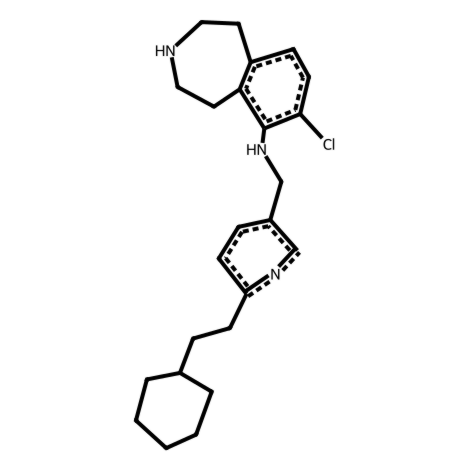 Clc1ccc2c(c1NCc1ccc(CCC3CCCCC3)nc1)CCNCC2